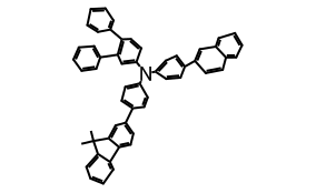 CC1(C)c2ccccc2-c2ccc(-c3ccc(N(c4ccc(-c5ccc6ccccc6c5)cc4)c4ccc(-c5ccccc5)c(-c5ccccc5)c4)cc3)cc21